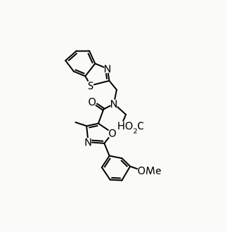 COc1cccc(-c2nc(C)c(C(=O)N(CC(=O)O)Cc3nc4ccccc4s3)o2)c1